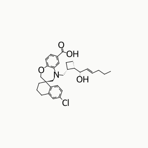 CCCC=C[C@H](O)[C@H]1CC[C@H]1CN1C[C@@]2(CCCc3cc(Cl)ccc32)COc2ccc(C(=O)O)cc21